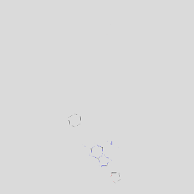 COCCOCCOCCOCCOCCOc1ccc(CCNc2nc(N)n3nc(-c4ccco4)nc3n2)cc1